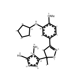 COc1ccc(C2=NOC(C)(c3nnc(S)n3N)C2)cc1OC1CCCC1